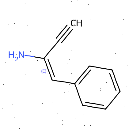 C#C/C(N)=C\c1ccccc1